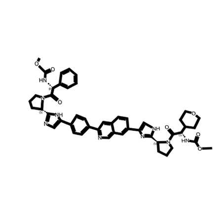 COC(=O)N[C@H](C(=O)N1CCC[C@H]1c1nc(-c2ccc3cc(-c4ccc(-c5cnc([C@@H]6CCCN6C(=O)[C@H](NC(=O)OC)c6ccccc6)[nH]5)cc4)ncc3c2)c[nH]1)C1CCOCC1